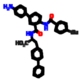 CC(C)(C)c1ccc(C(=O)Nc2ccc(-c3ccc(N)cc3)cc2C(=O)N[C@@H](Cc2ccc(-c3ccccc3)cc2)C(=O)O)cc1